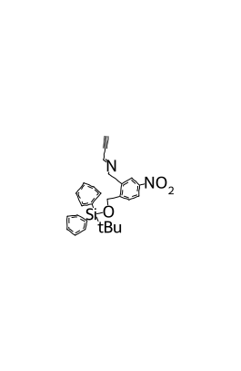 C#CC=NCc1cc([N+](=O)[O-])ccc1CO[Si](c1ccccc1)(c1ccccc1)C(C)(C)C